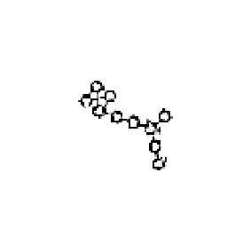 c1ccc(-c2nc(-c3ccc(-c4ccc(-c5cccc6c5-c5ccccc5C65c6ccccc6-c6ccccc65)cc4)cc3)nc(-c3ccc(-c4ccccn4)cc3)n2)cc1